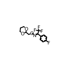 Fc1ccc(C(=NOCC2OCCCO2)C(F)(F)F)cc1